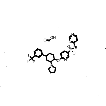 O=CO.O=S(=O)(Nc1ccncn1)c1ccc(OC2CCC(c3cccc(C(F)(F)F)c3)CC2N2CCCC2)nc1